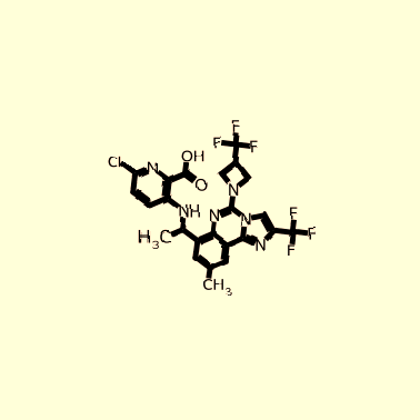 Cc1cc(C(C)Nc2ccc(Cl)nc2C(=O)O)c2nc(N3CC(C(F)(F)F)C3)n3cc(C(F)(F)F)nc3c2c1